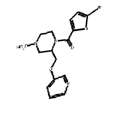 O=C(O)N1CCN(C(=O)c2ccc(Br)o2)C(COc2cccnc2)C1